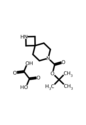 CC(C)(C)OC(=O)N1CCC2(CC1)CNC2.O=C(O)C(=O)O